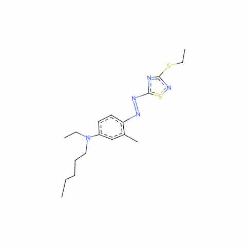 CCCCCN(CC)c1ccc(N=Nc2nc(SCC)ns2)c(C)c1